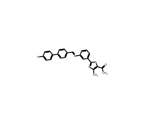 CC(=O)c1sc(-c2cccc(N=Cc3ccc(-c4ccc(F)cc4)cc3)c2)nc1C